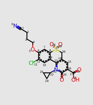 N#CCCCOc1cc2c(cc1Cl)-c1c(cc(C(=O)O)c(=O)n1C1CC1)CS2(=O)=O